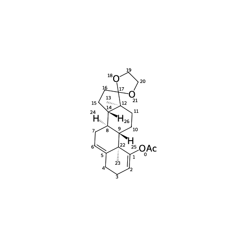 CC(=O)OC1=CCCC2=CC[C@@H]3[C@H](CC[C@@]4(C)[C@H]3CCC43OCCO3)[C@]21C